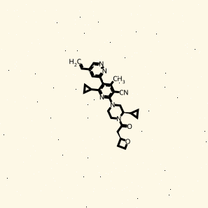 C=Cc1cnnc(-c2c(C3CC3)nc(N3CCN(C(=O)C[C@@H]4CCO4)[C@H](C4CC4)C3)c(C#N)c2C)c1